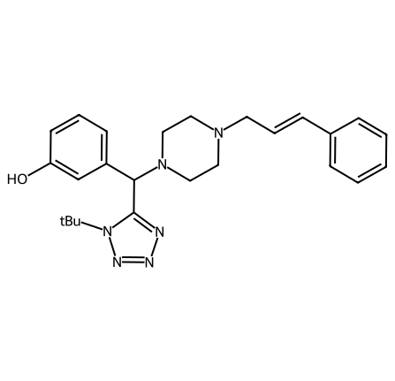 CC(C)(C)n1nnnc1C(c1cccc(O)c1)N1CCN(CC=Cc2ccccc2)CC1